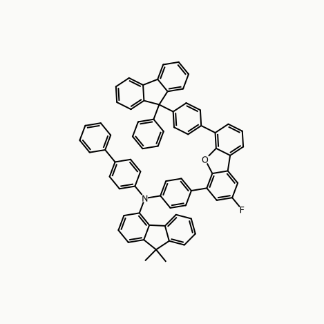 CC1(C)c2ccccc2-c2c(N(c3ccc(-c4ccccc4)cc3)c3ccc(-c4cc(F)cc5c4oc4c(-c6ccc(C7(c8ccccc8)c8ccccc8-c8ccccc87)cc6)cccc45)cc3)cccc21